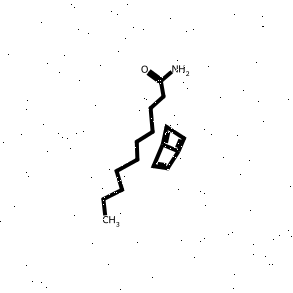 CCCCCCCCCC(N)=O.c1cc2ccc1-2